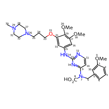 COc1cccc(CN(C(=O)O)c2ccnc(Nc3cc(OC)c(OC)c(OCCCN4CCN(C)CC4)c3)n2)c1